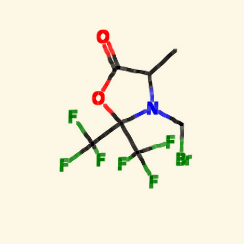 CC1C(=O)OC(C(F)(F)F)(C(F)(F)F)N1CBr